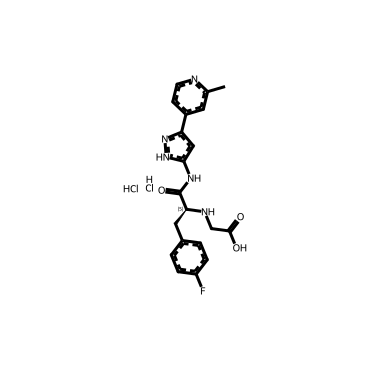 Cc1cc(-c2cc(NC(=O)[C@H](Cc3ccc(F)cc3)NCC(=O)O)[nH]n2)ccn1.Cl.Cl